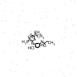 CCC(=O)Nc1cccc(N=C(SC(=S)N(C)C)N(C)C)c1.Cl